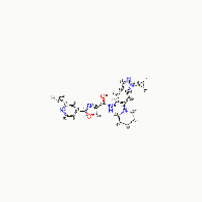 Cc1cc(-c2nc(C(=O)Nc3cc4cnn(C5CC5)c4cc3N3CCCCC3)co2)ccn1